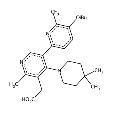 Cc1ncc(-c2ccc(OCC(C)C)c(C(F)(F)F)n2)c(N2CCC(C)(C)CC2)c1CC(=O)O